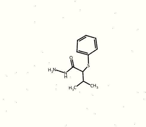 CC(C)C(Sc1ccccc1)C(=O)NN